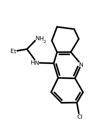 CCC(N)Nc1c2c(nc3cc(Cl)ccc13)CCCC2